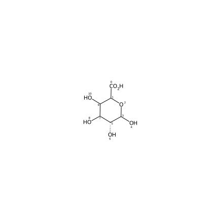 O=C(O)C1OC(O)[C@H](O)C(O)C1O